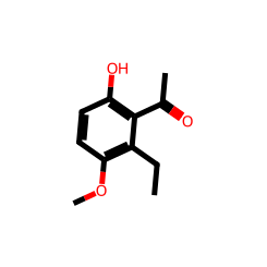 CCc1c(OC)ccc(O)c1C(C)=O